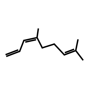 C=C/C=C(/C)CCC=C(C)C